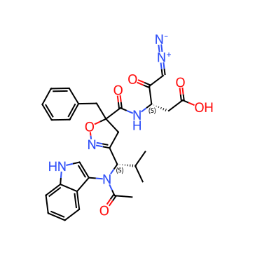 CC(=O)N(c1c[nH]c2ccccc12)[C@H](C1=NOC(Cc2ccccc2)(C(=O)N[C@@H](CC(=O)O)C(=O)C=[N+]=[N-])C1)C(C)C